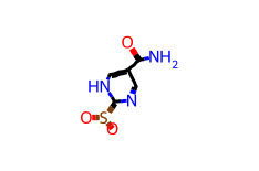 NC(=O)c1cnc(=S(=O)=O)[nH]c1